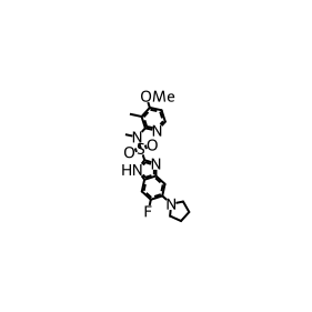 COc1ccnc(N(C)S(=O)(=O)c2nc3cc(N4CCCC4)c(F)cc3[nH]2)c1C